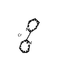 [Cr].c1ccc(-c2ccccn2)nc1